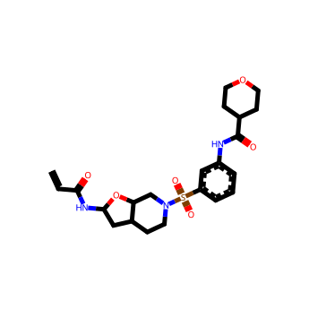 C=CC(=O)NC1CC2CCN(S(=O)(=O)c3cccc(NC(=O)C4CCOCC4)c3)CC2O1